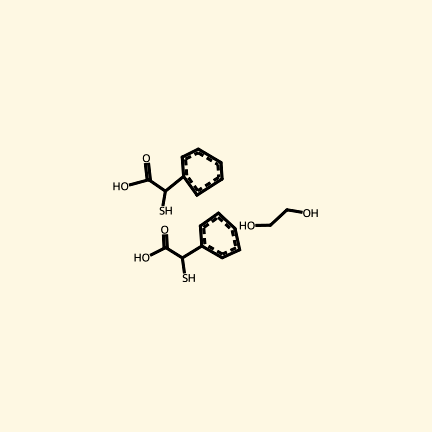 O=C(O)C(S)c1ccccc1.O=C(O)C(S)c1ccccc1.OCCO